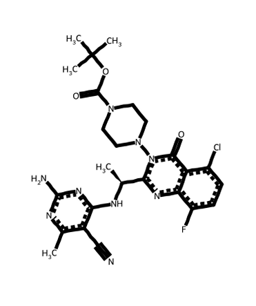 Cc1nc(N)nc(N[C@@H](C)c2nc3c(F)ccc(Cl)c3c(=O)n2N2CCN(C(=O)OC(C)(C)C)CC2)c1C#N